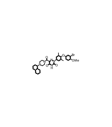 COc1ccc(Oc2c(C)cc(-n3nc(C(=O)N4CCN(c5cccc6ccccc56)CC4)c(=O)[nH]c3=O)cc2C)cc1Br